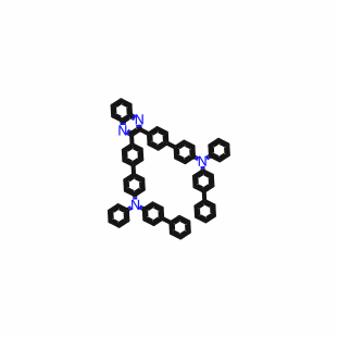 c1ccc(-c2ccc(N(c3ccccc3)c3ccc(-c4ccc(-c5nc6ccccc6nc5-c5ccc(-c6ccc(N(c7ccccc7)c7ccc(-c8ccccc8)cc7)cc6)cc5)cc4)cc3)cc2)cc1